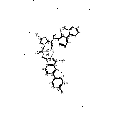 CC(=O)c1nn(CP(=O)(O)N2C[C@H](F)C[C@H]2C(=O)Nc2cccc(-c3ccccc3Cl)c2F)c2ccc(-c3cnc(C)nc3)cc12